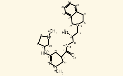 CN1CCC(NC2=NN(C)CC(C(=O)NC[C@H](O)CN3CCc4ccccc4C3)C2)C1